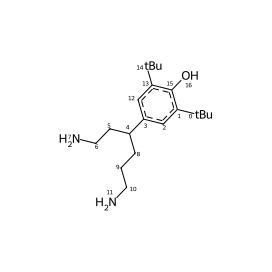 CC(C)(C)c1cc(C(CCN)CCCN)cc(C(C)(C)C)c1O